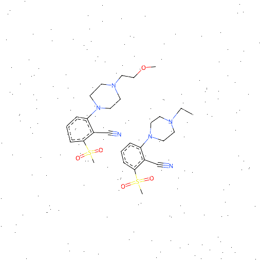 CCN1CCN(c2cccc(S(C)(=O)=O)c2C#N)CC1.COCCN1CCN(c2cccc(S(C)(=O)=O)c2C#N)CC1